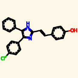 Oc1ccc(/C=C/c2nc(-c3ccc(Cl)cc3)c(-c3ccccc3)[nH]2)cc1